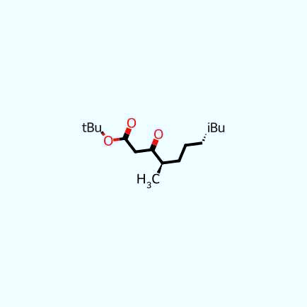 CC[C@@H](C)CCC[C@@H](C)C(=O)CC(=O)OC(C)(C)C